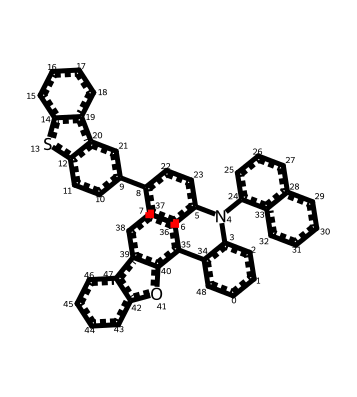 c1ccc(N(c2ccc(-c3ccc4sc5ccccc5c4c3)cc2)c2cccc3ccccc23)c(-c2cccc3c2oc2ccccc23)c1